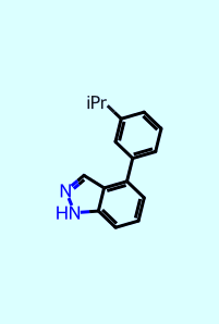 CC(C)c1cccc(-c2cccc3[nH]ncc23)c1